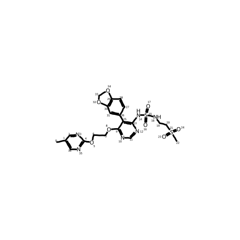 Cc1cnc(OCCOc2ncnc(NS(=O)(=O)NCCS(C)(=O)=O)c2-c2ccc3c(c2)OCO3)nc1